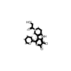 O=C(CO)N1CCc2[nH]c3c(Cl)c(Cl)nc(C4CCCCO4)c3c2C1